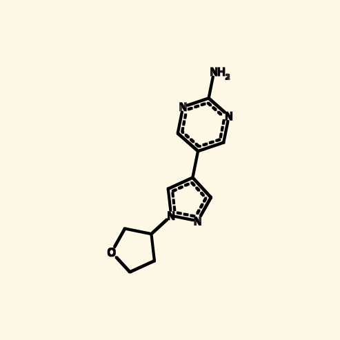 Nc1ncc(-c2cnn(C3CCOC3)c2)cn1